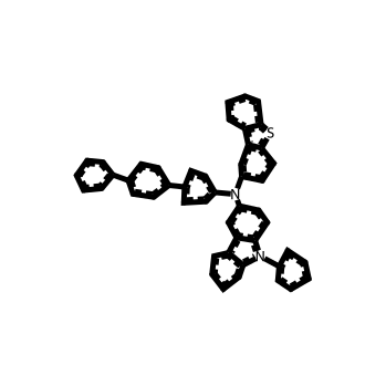 c1ccc(-c2ccc(-c3ccc(N(c4ccc5sc6ccccc6c5c4)c4ccc5c(c4)c4ccccc4n5-c4ccccc4)cc3)cc2)cc1